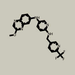 COc1cnc2ccc(Nc3ccc(NCc4ccc(C(F)(F)F)nc4)nc3)cc2n1